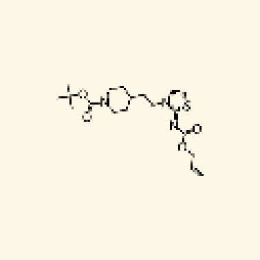 C=CCOC(=O)N=c1sccn1CCC1CCN(C(=O)OC(C)(C)C)CC1